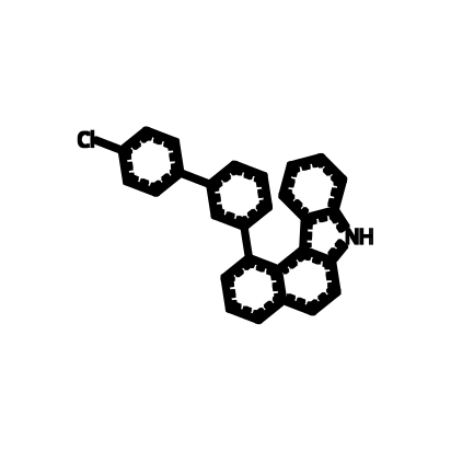 Clc1ccc(-c2cccc(-c3cccc4ccc5[nH]c6ccccc6c5c34)c2)cc1